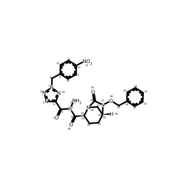 NN(C(=O)c1nnn(Cc2ccc([N+](=O)[O-])cc2)n1)C(=O)[C@@H]1CC[C@@H]2CN1C(=O)N2OCc1ccccc1